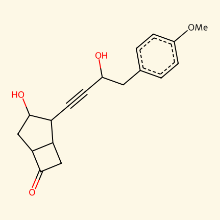 COc1ccc(CC(O)C#CC2C(O)CC3C(=O)CC32)cc1